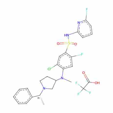 C[C@H](c1ccccc1)N1CCC(N(C)c2cc(F)c(S(=O)(=O)Nc3cccc(F)n3)cc2Cl)C1.O=C(O)C(F)(F)F